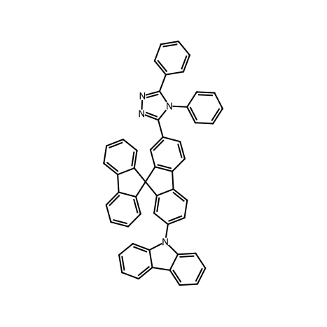 c1ccc(-c2nnc(-c3ccc4c(c3)C3(c5ccccc5-c5ccccc53)c3cc(-n5c6ccccc6c6ccccc65)ccc3-4)n2-c2ccccc2)cc1